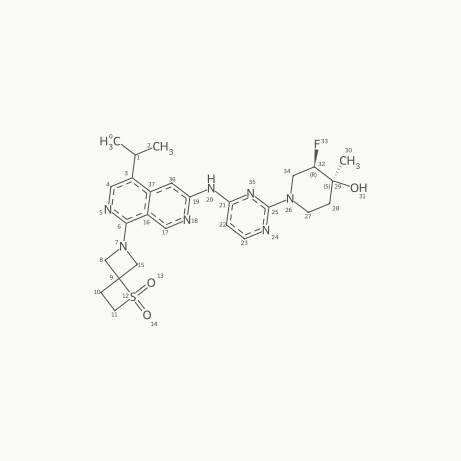 CC(C)c1cnc(N2CC3(CCS3(=O)=O)C2)c2cnc(Nc3ccnc(N4CC[C@](C)(O)[C@H](F)C4)n3)cc12